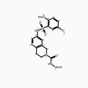 CCCCCNC(=O)N1CCc2ncc(NS(=O)(=O)c3cc(Cl)ccc3OC)cc2C1